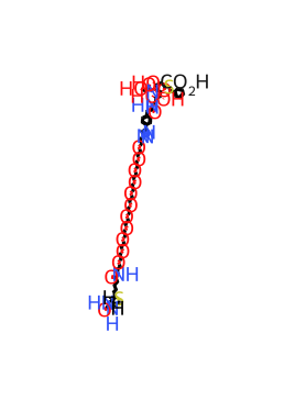 O=C(CCCC[C@@H]1SC[C@@H]2NC(=O)N[C@@H]21)NCCOCCOCCOCCOCCOCCOCCOCCOCCOCCOCCOCCn1cc(-c2ccc(CC(=O)NC[C@@H](O)[C@@H](O)[C@@H]3O[C@@](SCc4ccccc4)(C(=O)O)C[C@H](O)[C@H]3NC(=O)CO)cc2)nn1